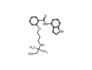 CC(C)(CO)NCCCOc1ccccc1C(=O)Nc1cccc2[nH]ccc12